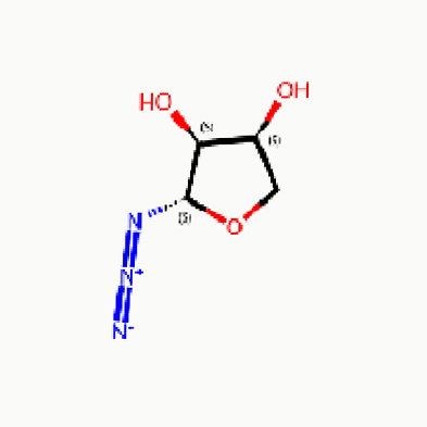 [N-]=[N+]=N[C@H]1OC[C@H](O)[C@@H]1O